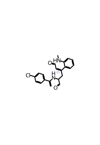 C=C(NC(C=O)C/C(=C/C=O)c1ccccc1NC)c1ccc(Cl)cc1